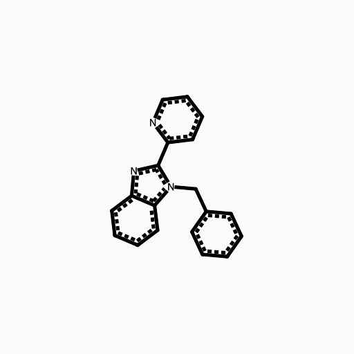 c1ccc(Cn2c(-c3ccccn3)nc3ccccc32)cc1